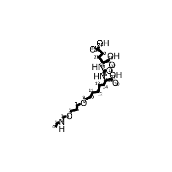 CCNCOCCCOCCCCCCC(NC(=O)NC(CCC(=O)O)C(=O)O)C(=O)O